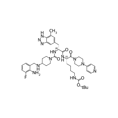 Cc1cc(C[C@@H](NC(=O)N2CCC(NCc3cccc(F)c3N)CC2)C(=O)N[C@@H](CCCCNC(=O)OC(C)(C)C)C(=O)N2CCN(c3ccncc3)CC2)cc2nn[nH]c12